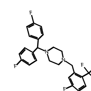 Fc1ccc(C(c2ccc(F)cc2)N2CCN(Cc3cc(F)ccc3C(F)(F)F)CC2)cc1